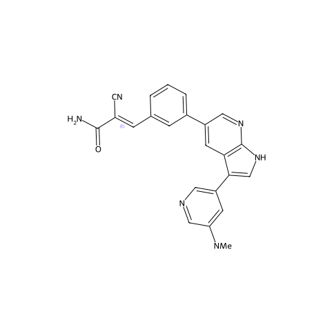 CNc1cncc(-c2c[nH]c3ncc(-c4cccc(/C=C(\C#N)C(N)=O)c4)cc23)c1